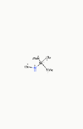 CN[Si](NC)(NC(C)(C)C)C(C)(C)C